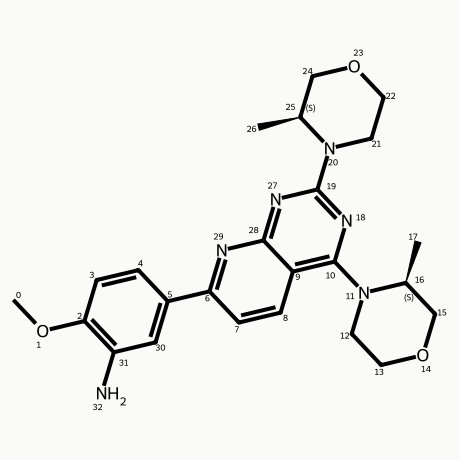 COc1ccc(-c2ccc3c(N4CCOC[C@@H]4C)nc(N4CCOC[C@@H]4C)nc3n2)cc1N